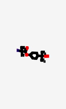 CCC(C)(I)C(=O)OC1CCC(C(O)(C(F)(F)F)C(F)(F)F)CC1